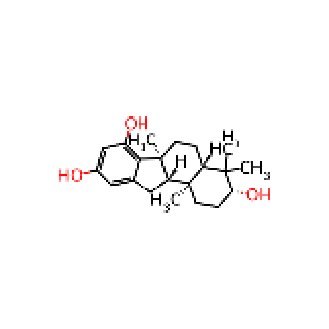 CC1(C)[C@H](O)CC[C@]2(C)[C@@H]1CC[C@]1(C)c3c(O)cc(O)cc3C[C@@H]21